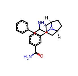 NC(=O)c1cccc([C@H]2C[C@H]3CC[C@@H](C2)N3CC(N)Cc2ccccc2)c1